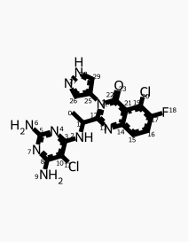 CC(Nc1nc(N)nc(N)c1Cl)c1nc2ccc(F)c(Cl)c2c(=O)n1-c1cn[nH]c1